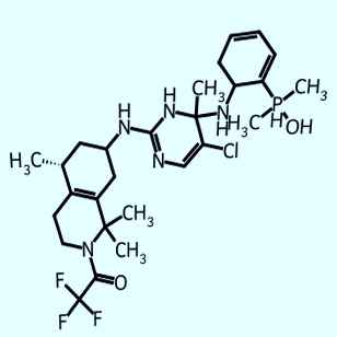 C[C@@H]1CC(NC2=NC=C(Cl)C(C)(NC3CC=CC=C3[PH](C)(C)O)N2)CC2=C1CCN(C(=O)C(F)(F)F)C2(C)C